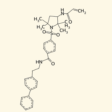 C=CC(=O)NC1CC(C)(C)N(S(=O)(=O)c2ccc(C(=O)NCCc3ccc(-c4ccccc4)cc3)cc2)C1(C)C